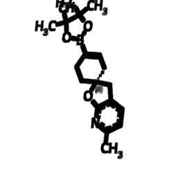 Cc1ccc2c(n1)O[C@]1(CC=C(B3OC(C)(C)C(C)(C)O3)CC1)C2